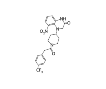 O=C1CN(C2CCN(C(=O)Cc3ccc(C(F)(F)F)cc3)CC2)c2c(cccc2[N+](=O)[O-])N1